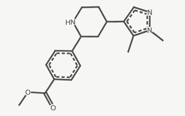 COC(=O)c1ccc(C2CC(c3cnn(C)c3C)CCN2)cc1